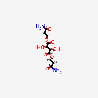 NC(=O)CCOC(=O)C(O)C(O)C(=O)OCCC(N)=O